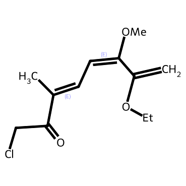 C=C(OCC)/C(=C\C=C(/C)C(=O)CCl)OC